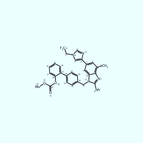 CCCc1nc2c(C)cc(-c3cn(CC(F)(F)F)cn3)cc2n1Cc1ccc(-c2ccccc2OC(=O)OC(C)(C)C)cc1